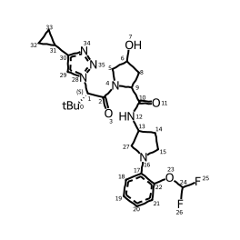 CC(C)(C)[C@@H](C(=O)N1CC(O)CC1C(=O)NC1CCN(c2ccccc2OC(F)F)C1)n1cc(C2CC2)nn1